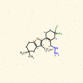 CC1(C)CCc2sc(C3=C(CNN)CC(F)(F)CC3)c(C(=O)O)c2C1